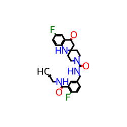 C#CCNC(=O)c1cc(CNC(=O)N2CCC3(CC2)CC(=O)c2cc(F)ccc2N3)ccc1F